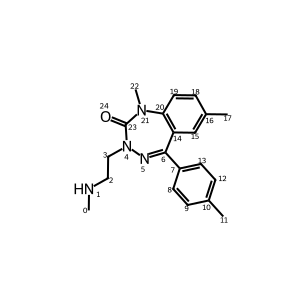 CNCCN1N=C(c2ccc(C)cc2)c2cc(C)ccc2N(C)C1=O